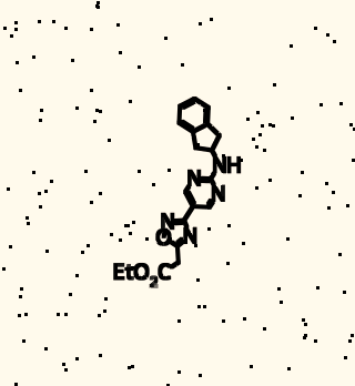 CCOC(=O)Cc1nc(-c2cnc(NC3Cc4ccccc4C3)nc2)no1